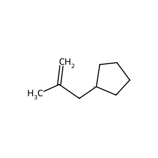 C=C(C)C[C]1CCCC1